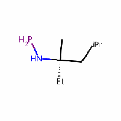 CC[C@](C)(CC(C)C)NP